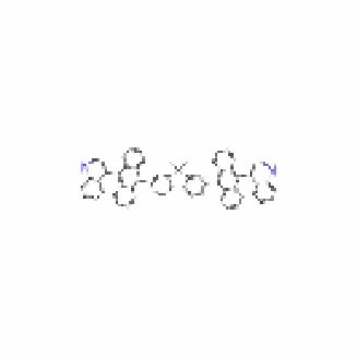 CC1(C)c2cc(-c3c4ccccc4c(-c4ccnc5ccccc45)c4ccccc34)ccc2-c2ccc(-c3c4ccccc4c(-c4ccnc5ccccc45)c4ccccc34)cc21